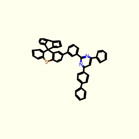 c1ccc(-c2ccc(-c3cc(-c4ccccc4)nc(-c4cccc(-c5ccc6c(c5)C5(c7ccccc7S6)c6ccccc6-c6ccccc65)c4)n3)cc2)cc1